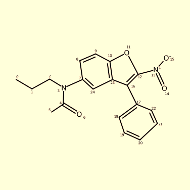 CCCN(C(C)=O)c1ccc2oc([N+](=O)[O-])c(-c3ccccc3)c2c1